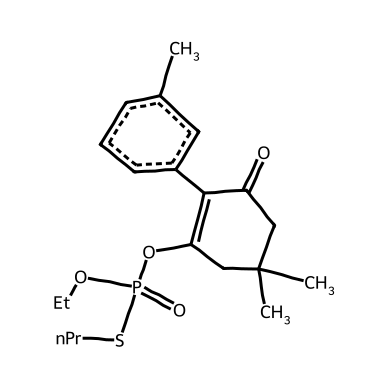 CCCSP(=O)(OCC)OC1=C(c2cccc(C)c2)C(=O)CC(C)(C)C1